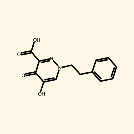 O=C(O)c1nn(CCc2ccccc2)cc(O)c1=O